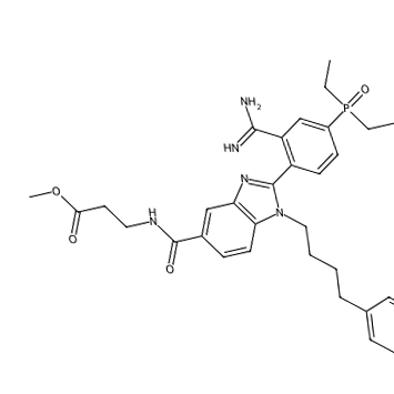 CCP(=O)(CC)c1ccc(-c2nc3cc(C(=O)NCCC(=O)OC)ccc3n2CCCCc2ccccc2)c(C(=N)N)c1